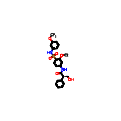 CCOc1cc(NC(=O)[C@H](CO)c2ccccc2)ccc1S(=O)(=O)Nc1cccc(OC(F)(F)F)c1